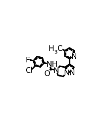 Cc1ccnc(-c2cnn3c2CN(C(=O)Nc2ccc(F)c(Cl)c2)CC3)c1